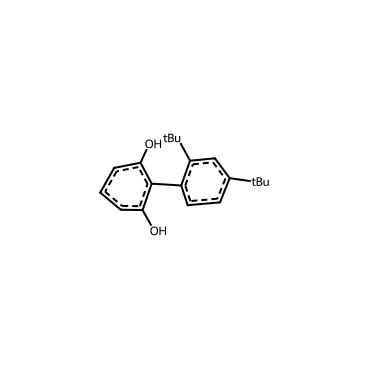 CC(C)(C)c1ccc(-c2c(O)cccc2O)c(C(C)(C)C)c1